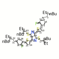 CCCCC(CC)CCc1ccc(-c2ccc(C3=C4C(SCC(CC)CCCC)=NC(c5ccc(-c6ccc(CCC(CC)CCCC)cc6F)s5)=C4C(SCC(CC)CCCC)=N3)s2)c(F)c1